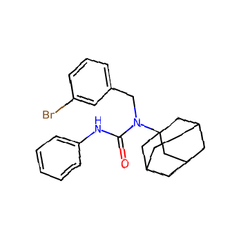 O=C(Nc1ccccc1)N(Cc1cccc(Br)c1)C12CC3CC(CC(C3)C1)C2